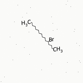 CCCCCCCCCCCC(Br)CCCC